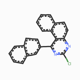 Clc1nc(-c2ccc3ccccc3c2)c2c(ccc3ccccc32)n1